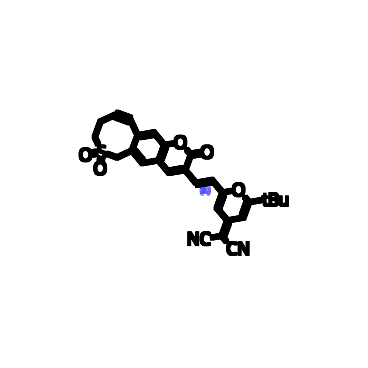 CC(C)(C)C1=CC(=C(C#N)C#N)C=C(/C=C/c2cc3cc4c(cc3oc2=O)C#CCCS(=O)(=O)C4)O1